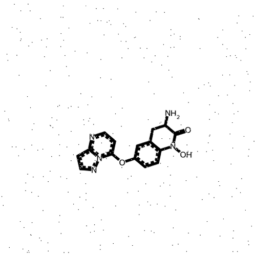 NC1Cc2cc(Oc3ccnc4ccnn34)ccc2N(O)C1=O